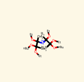 CCCCOC([SiH3])(OCC)C(C)(NC(C)(OCC)C([SiH3])(OCC)OCCCC)OCC